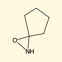 C1CCC2(C1)NO2